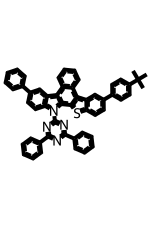 CC(C)(C)c1ccc(-c2ccc3sc4c(c3c2)c2ccccc2c2c3cc(-c5ccccc5)ccc3n(-c3nc(-c5ccccc5)nc(-c5ccccc5)n3)c42)cc1